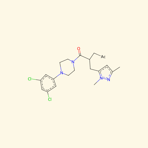 CC(=O)CC(Cc1cc(C)nn1C)C(=O)N1CCN(c2cc(Cl)cc(Cl)c2)CC1